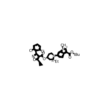 CC[C@@H]1C[C@H](OC(=O)c2c(-c3c(Cl)cccc3Cl)noc2C2CC2)CCN1c1ccc2c(C(=O)OC(C)(C)C)cn(C)c2c1